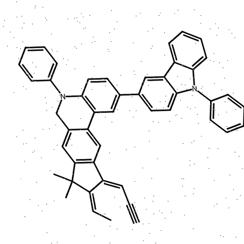 C#C/C=C1\C(=C/C)C(C)(C)c2cc3c(cc21)-c1cc(-c2ccc4c(c2)c2ccccc2n4-c2ccccc2)ccc1N(c1ccccc1)C3